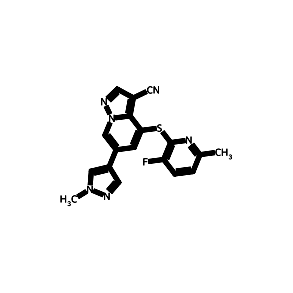 Cc1ccc(F)c(Sc2cc(-c3cnn(C)c3)cn3ncc(C#N)c23)n1